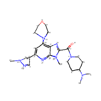 CN(C)C1CCN(C(=O)c2nc3c(N4CCOCC4)cc(-c4cnn(C)c4)nc3n2C)CC1